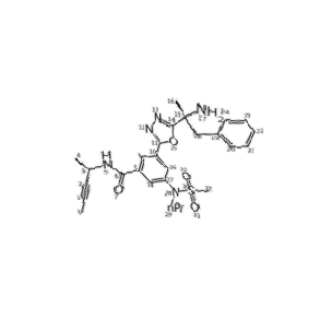 CC#C[C@@H](C)NC(=O)c1cc(-c2nnc([C@](C)(N)Cc3ccccc3)o2)cc(N(CCC)S(C)(=O)=O)c1